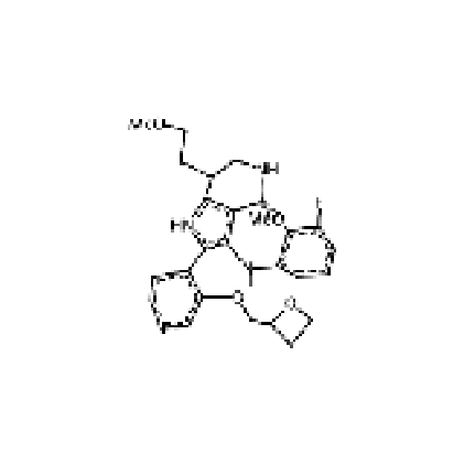 COCCC1CNC(=O)c2c1[nH]c(-c1ccncc1OCC1CCO1)c2Nc1cccc(F)c1OC